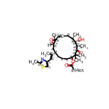 CCCCCCC(=O)O[C@H]1CCC[C@H](/C(C)=C/c2csc(C)n2)C[C@@H]2O[C@]2(C)CCC[C@H](C)[C@H](O)[C@@H](C)C(=O)C1(C)C